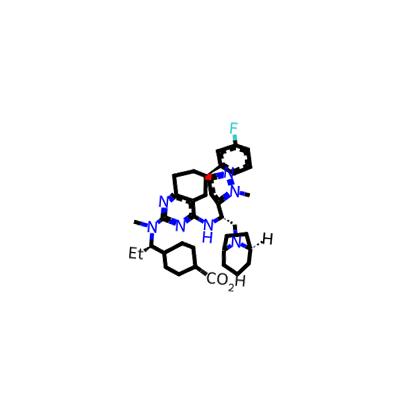 CC[C@H](C1CCC(C(=O)O)CC1)N(C)c1nc2c(c(N[C@@H](CN3C4CCC[C@@H]3CC4)c3ccnn3C)n1)C[C@H](c1cccc(F)c1)CC2